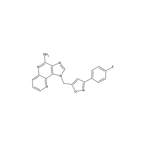 Nc1nc2cccnc2c2c1ncn2Cc1cc(-c2ccc(F)cc2)no1